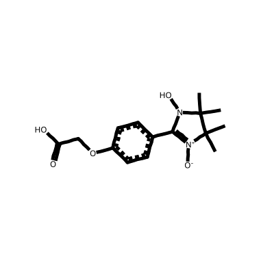 CC1(C)N(O)C(c2ccc(OCC(=O)O)cc2)=[N+]([O-])C1(C)C